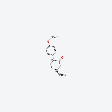 CCCCCOc1ccc([C@H]2CC[C@H](CCCCC)CC2=O)cc1